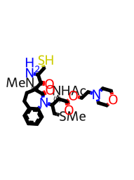 CN[C@]1(C(=O)C(N)CS)CCc2ccccc2N(C(CSC)[C@H](NC(C)=O)C(=O)OCCN2CCOCC2)C1=O